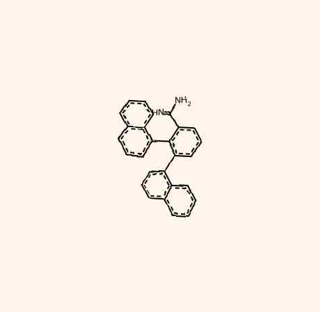 N=C(N)c1cccc(-c2cccc3ccccc23)c1-c1cccc2ccccc12